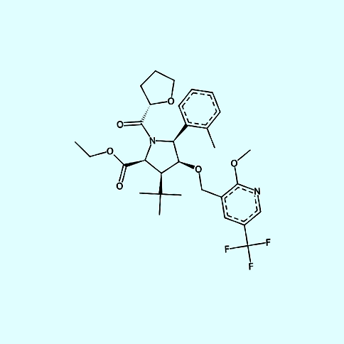 CCOC(=O)[C@@H]1[C@H](C(C)(C)C)[C@H](OCc2cc(C(F)(F)F)cnc2OC)[C@H](c2ccccc2C)N1C(=O)[C@@H]1CCCO1